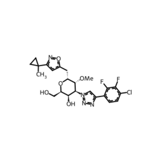 CO[C@@H]1[C@@H](n2cc(-c3ccc(Cl)c(F)c3F)nn2)[C@@H](O)[C@@H](CO)O[C@@H]1Cc1cc(C2(C)CC2)no1